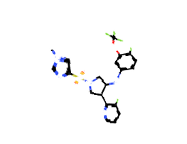 Cn1cnc(S(=O)(=O)N2CC(Nc3ccc(F)c(OC(F)(F)F)c3)C(c3ncccc3F)C2)c1